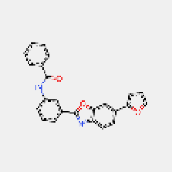 O=C(Nc1cccc(-c2nc3ccc(-c4ccco4)cc3o2)c1)c1ccccc1